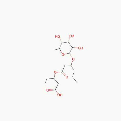 CCCC(CC(=O)OC(CC)CC(=O)O)O[C@@H]1OC(C)[C@H](O)[C@H](O)C1O